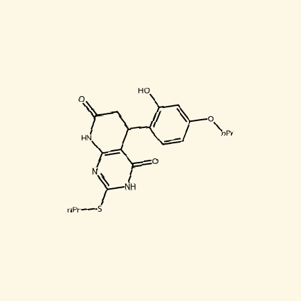 CCCOc1ccc(C2CC(=O)Nc3nc(SCCC)[nH]c(=O)c32)c(O)c1